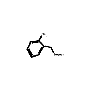 CCSCc1ccccc1N